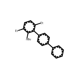 CCCCc1c(CC)ccc(CC)c1-c1ccc(-c2ccccc2)cc1